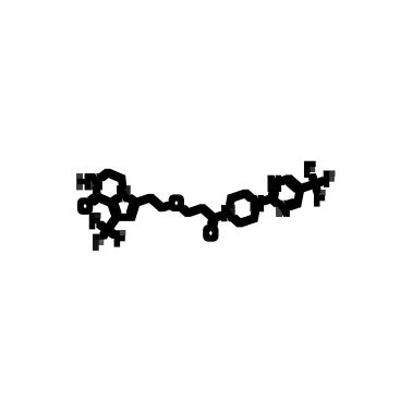 O=C1NCCn2c(CCOCCC(=O)N3CCN(c4ncc(C(F)(F)F)cn4)CC3)cc(C(F)(F)F)c21